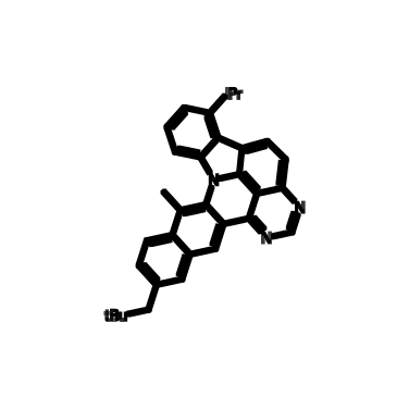 Cc1c2ccc(CC(C)(C)C)cc2cc2c3ncnc4ccc5c6c(C(C)C)cccc6n(c12)c5c43